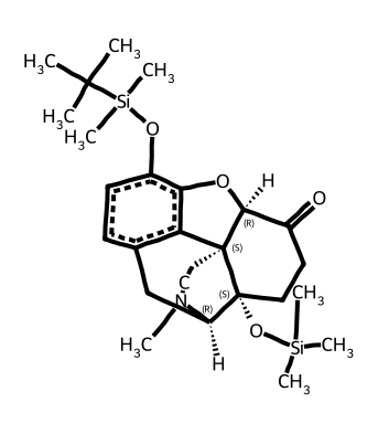 CN1CC[C@]23c4c5ccc(O[Si](C)(C)C(C)(C)C)c4O[C@H]2C(=O)CC[C@@]3(O[Si](C)(C)C)[C@H]1C5